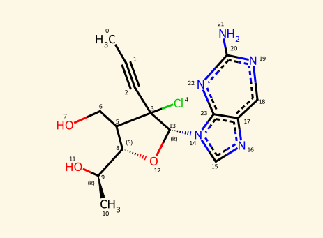 CC#CC1(Cl)C(CO)[C@@H]([C@@H](C)O)O[C@H]1n1cnc2cnc(N)nc21